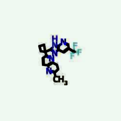 CC1=Nc2ccc(C3(c4nc5cc(C(F)(F)F)cnc5[nH]4)CCC3)nc2CC1